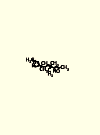 Cc1cc(C(C)(C)CCC(C)(C)c2cnn(C)c2)no1